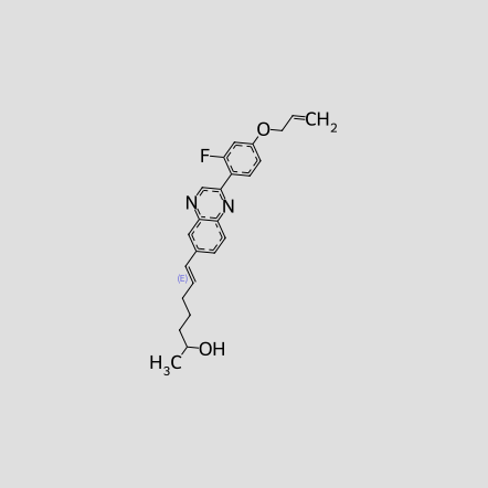 C=CCOc1ccc(-c2cnc3cc(/C=C/CCCC(C)O)ccc3n2)c(F)c1